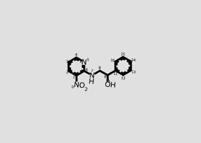 O=[N+]([O-])c1cccnc1NCC(O)c1ccccc1